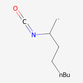 [CH2]C(CCCCCC)N=C=O